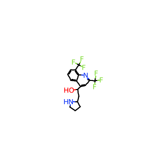 OC(CC1CCCN1)c1cc(C(F)(F)F)nc2c(C(F)(F)F)cccc12